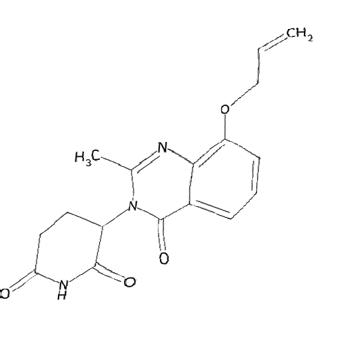 C=CCOc1cccc2c(=O)n(C3CCC(=O)NC3=O)c(C)nc12